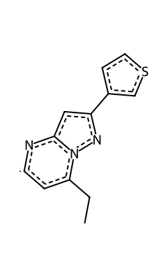 CCc1c[c]nc2cc(-c3ccsc3)nn12